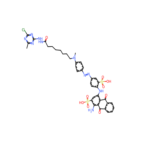 Cc1nc(Cl)nc(NNC(=O)CCCCCCCN(C)c2ccc(/N=N/c3ccc(Nc4cc(S(=O)(=O)O)c(N)c5c4C(=O)c4ccccc4C5=O)c(S(=O)(=O)O)c3)cc2)n1